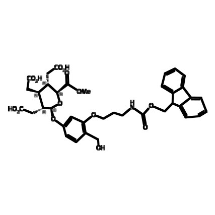 COC(=O)[C@H]1O[C@@H](Oc2ccc(CO)c(OCCCNC(=O)OCC3c4ccccc4-c4ccccc43)c2)[C@H](CC(=O)O)[C@@H](CC(=O)O)[C@@H]1CC(=O)O